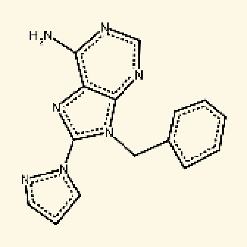 Nc1ncnc2c1nc(-n1cccn1)n2Cc1ccccc1